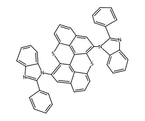 c1ccc(-c2nc3ccccc3n2-c2cc3cccc4sc5c(-n6c(-c7ccccc7)nc7ccccc76)cc6cccc7sc2c(c34)-c5c67)cc1